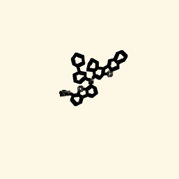 CC(C)(C)c1cccc2c1oc1c(N(c3cccc(-c4ccccc4)c3)c3cc4oc5cc6ccccc6cc5c4c4ccccc34)cccc12